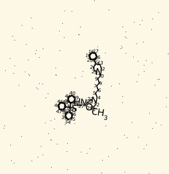 CCCN(CCCCCCCN1CCC(c2ccccc2)CC1)CC(=O)NCCSC(c1ccccc1)(c1ccccc1)c1ccccc1